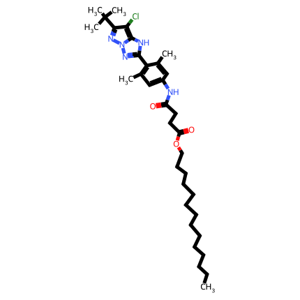 CCCCCCCCCCCCCCOC(=O)CCC(=O)Nc1cc(C)c(-c2nn3nc(C(C)(C)C)c(Cl)c3[nH]2)c(C)c1